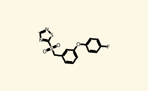 O=S(=O)(Cc1cccc(Oc2ccc(F)cc2)c1)c1n[c]ns1